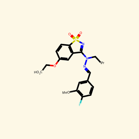 COc1cc(/C=N/N(CC(C)C)C2=NS(=O)(=O)c3ccc(OCC(=O)O)cc32)ccc1F